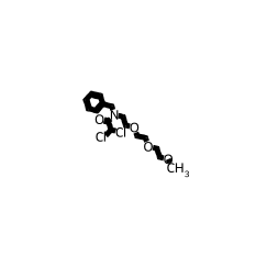 COCCOCCOCCN(Cc1ccccc1)C(=O)C(Cl)Cl